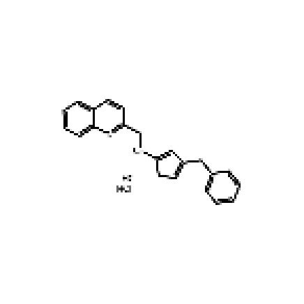 C1=C(Cc2ccccc2)C=[C]([Cr][CH2]c2ccc3ccccc3n2)C1.Cl.Cl